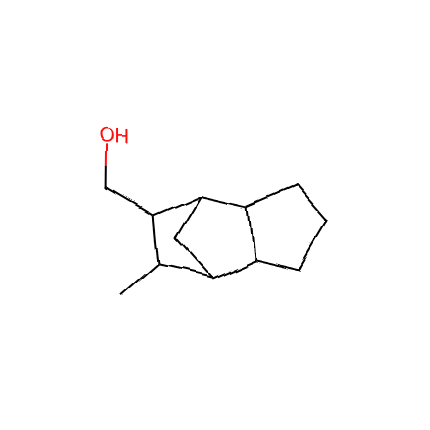 CC1C2CC(C1CO)C1CCCC21